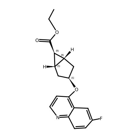 CCOC(=O)[C@H]1[C@@H]2C[C@@H](Oc3ccnc4ccc(F)cc34)C[C@@H]21